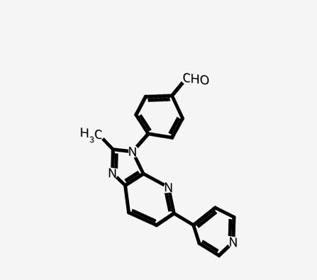 Cc1nc2ccc(-c3ccncc3)nc2n1-c1ccc(C=O)cc1